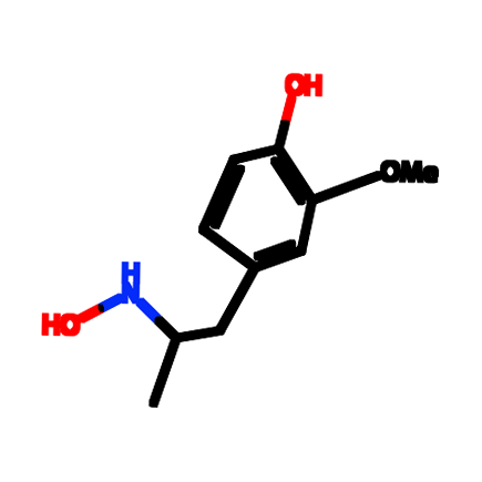 COc1cc(CC(C)NO)ccc1O